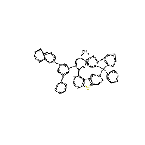 CC1C=C(c2cc(-c3ccccc3)cc(-c3ccc4ccccc4c3)c2)C(c2cccc3sc4ccc(C5(c6ccccc6)c6ccccc6-c6ccccc65)cc4c23)=CC1